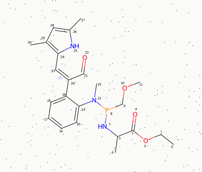 CCOC(=O)C(C)NP(COC)N(C)c1ccccc1/C(C=O)=C/c1[nH]c(C)cc1C